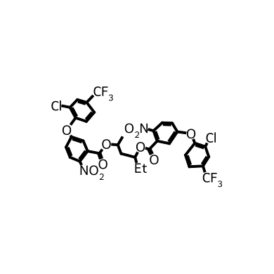 CCC(CC(C)OC(=O)c1cc(Oc2ccc(C(F)(F)F)cc2Cl)ccc1[N+](=O)[O-])OC(=O)c1cc(Oc2ccc(C(F)(F)F)cc2Cl)ccc1[N+](=O)[O-]